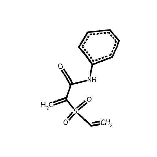 C=CS(=O)(=O)C(=C)C(=O)Nc1ccccc1